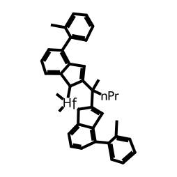 CCCC1(C)C2=Cc3c(-c4ccccc4C)cccc3[CH]2[Hf]([CH3])([CH3])[CH]2C1=Cc1c(-c3ccccc3C)cccc12